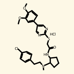 COc1ccc(-c2cnc(SCC(=O)NC3CCCC3N(C)CCc3ccc(Cl)cc3)nc2)cc1OC.Cl